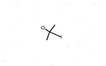 CC(C)([O])I